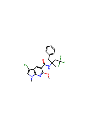 COc1nc2c(cc1C(=O)NC(C)(Cc1ccccc1)CC(F)(F)F)c(Cl)cn2C